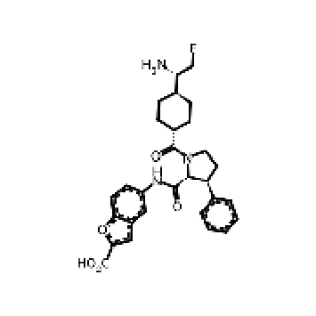 N[C@H](CF)[C@H]1CC[C@H](C(=O)N2CC[C@@H](c3ccccc3)[C@H]2C(=O)Nc2ccc3oc(C(=O)O)cc3c2)CC1